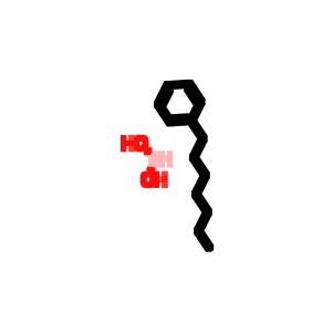 CCCCCCCc1ccccc1.OBO